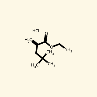 C=C(CC(C)(C)C)C(=O)OCN.Cl